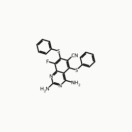 N#Cc1c(Sc2ccccc2)c(F)c2nc(N)nc(N)c2c1Sc1ccccc1